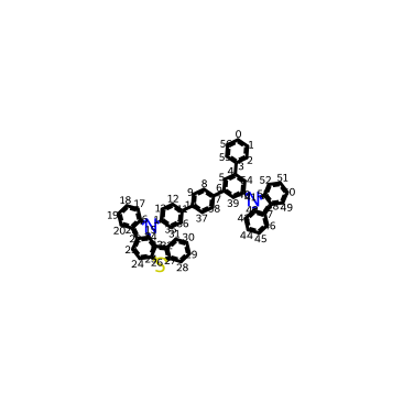 c1ccc(-c2cc(-c3ccc(-c4ccc(-n5c6ccccc6c6ccc7sc8ccccc8c7c65)cc4)cc3)cc(-n3c4ccccc4c4ccccc43)c2)cc1